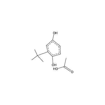 CC(=O)O.CC(C)(C)c1cc(O)ccc1O